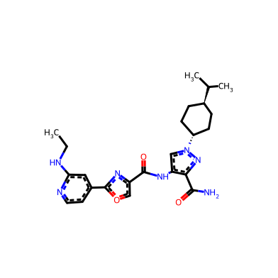 CCNc1cc(-c2nc(C(=O)Nc3cn([C@H]4CC[C@H](C(C)C)CC4)nc3C(N)=O)co2)ccn1